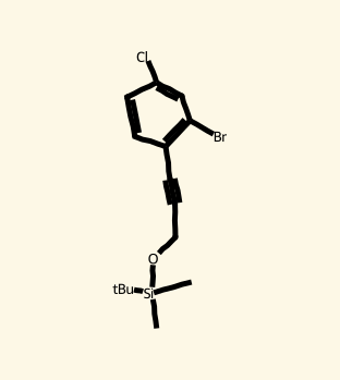 CC(C)(C)[Si](C)(C)OCC#Cc1ccc(Cl)cc1Br